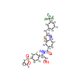 CCS(=O)(=O)c1ccc([C@H](CO)NC(=O)c2ccc3nc(Cc4cccc(C(F)(F)F)c4)sc3c2)cc1